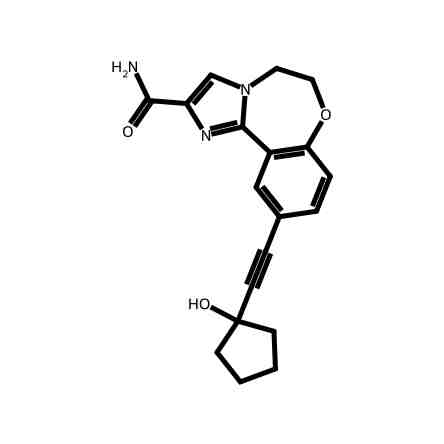 NC(=O)c1cn2c(n1)-c1cc(C#CC3(O)CCCC3)ccc1OCC2